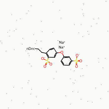 CCCCCCCCCCCCc1ccc(Oc2cccc(S(=O)(=O)[O-])c2)cc1S(=O)(=O)[O-].[Na+].[Na+]